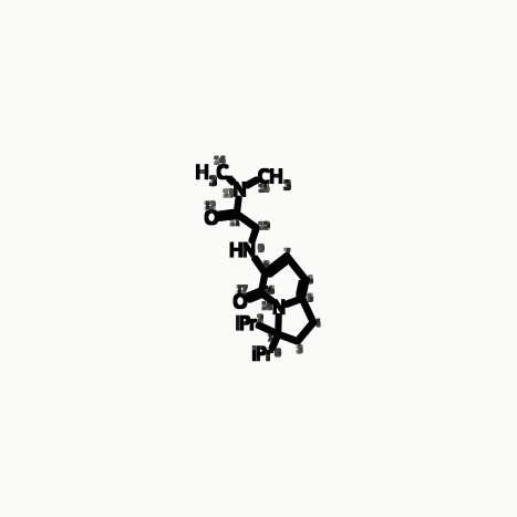 CC(C)C1(C(C)C)CCc2ccc(NCC(=O)N(C)C)c(=O)n21